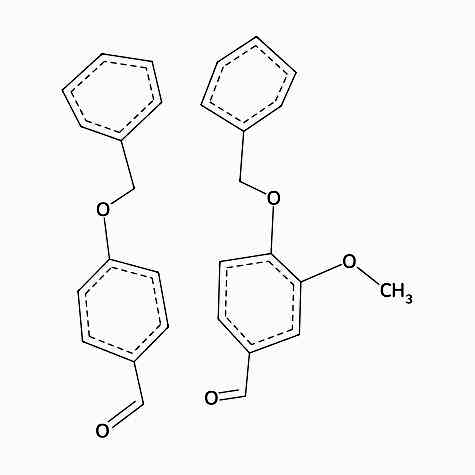 COc1cc(C=O)ccc1OCc1ccccc1.O=Cc1ccc(OCc2ccccc2)cc1